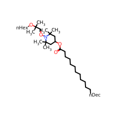 CCCCCCCCCCCCCCCCCCCCCC(=O)OC1CC(C)(C)N(OCC(C)(C)OCCCCCC)C(C)(C)C1